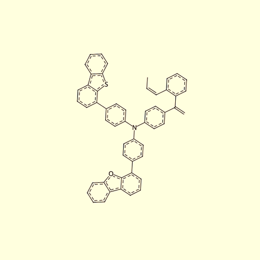 C=C(c1ccc(N(c2ccc(-c3cccc4c3oc3ccccc34)cc2)c2ccc(-c3cccc4c3sc3ccccc34)cc2)cc1)c1ccccc1/C=C\C